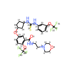 O=C(NCCN1CCOCC1)c1cc(OC2CCC(NC(=S)Nc3cccc(OC(F)(F)F)c3)C2)ccc1OC(F)(F)F